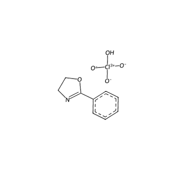 [O-][Cl+3]([O-])([O-])O.c1ccc(C2=NCCO2)cc1